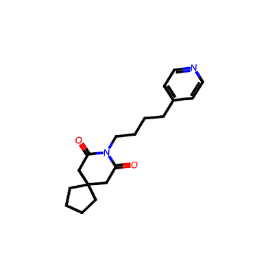 O=C1CC2(CCCC2)CC(=O)N1CCCCc1ccncc1